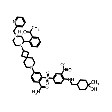 CC(C)c1ccccc1C1CN(Cc2ccccn2)CCN1C1CC2(CCN(c3ccc(C(N)=O)c(S(=O)(=O)c4ccc(NCC5CCC(C)(O)CC5)c([N+](=O)[O-])c4)c3)CC2)C1